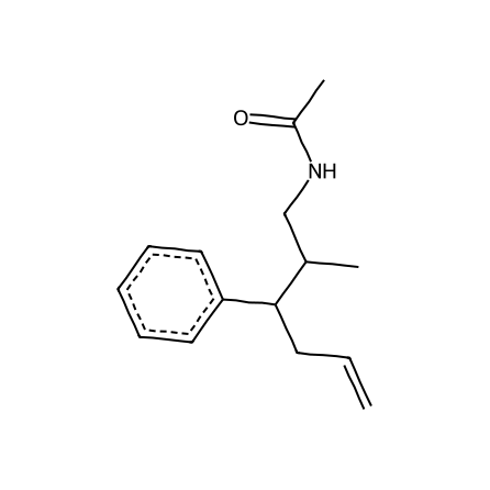 C=CCC(c1ccccc1)C(C)CNC(C)=O